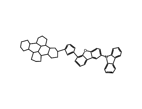 c1cc(-c2cccc3c2oc2ccc(-n4c5ccccc5c5ccccc54)cc23)cc(C2CCC3C(C2)C2CCCC4C5CCCCC5C5CCCC3C5C42)c1